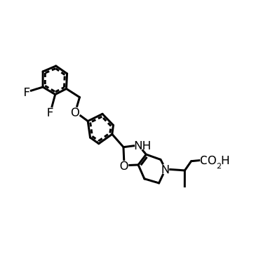 CC(CC(=O)O)N1CCC2=C(C1)NC(c1ccc(OCc3cccc(F)c3F)cc1)O2